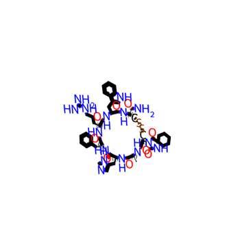 C[C@H]1NC(=O)[C@@H](N2C(=O)NC3(CCCCC3)C2=O)CSSC[C@@H](C(N)=O)NC(=O)C(Cc2c[nH]c3ccccc23)NC(=O)[C@H](CCCNC(=N)N)NC(=O)[C@@H](Cc2ccccc2)NC(=O)[C@H](Cc2cnc[nH]2)NC1=O